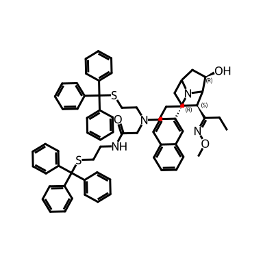 CCC(=NOC)[C@@H]1C2[C@H](O)CC(C[C@H]1c1ccc3ccccc3c1)N2CCCN(CCSC(c1ccccc1)(c1ccccc1)c1ccccc1)CC(=O)NCCSC(c1ccccc1)(c1ccccc1)c1ccccc1